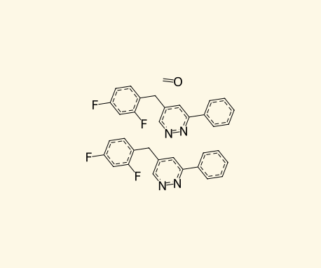 C=O.Fc1ccc(Cc2cnnc(-c3ccccc3)c2)c(F)c1.Fc1ccc(Cc2cnnc(-c3ccccc3)c2)c(F)c1